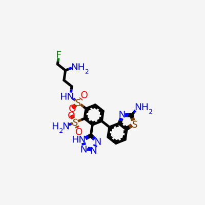 Nc1nc2c(-c3ccc(S(=O)(=O)NCCC(N)CF)c(S(N)(=O)=O)c3-c3nnn[nH]3)cccc2s1